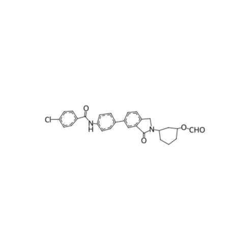 O=COC1CCCC(N2Cc3ccc(-c4ccc(NC(=O)c5ccc(Cl)cc5)cc4)cc3C2=O)C1